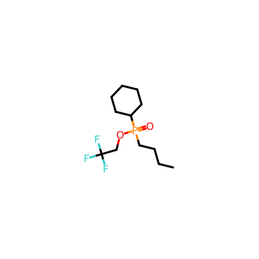 CCCCP(=O)(OCC(F)(F)F)C1CCCCC1